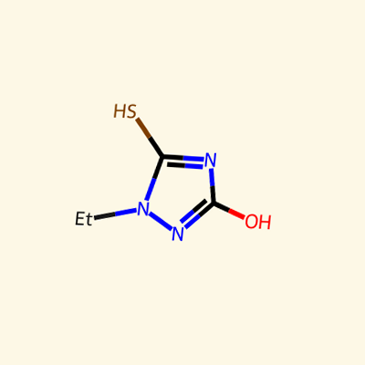 CCn1nc(O)nc1S